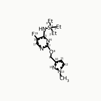 CC[Si](CC)(CC)Nc1nc(OCc2ccn(C)n2)ncc1F